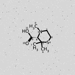 CN1CCSC(C)(C)[C@@H]1C(=O)O